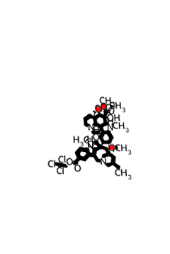 CCC1=C[C@H]2CN(C1)Cc1c([nH]c3ccc(C(=O)OCC(Cl)(Cl)Cl)cc13)[C@@](C(=O)OC)(C1C=C3C(=CC1OC)N(C)[C@H]1[C@@](O)(C(=O)OC)[C@H](OC(C)=O)[C@]4(CC)C=CCN5CC[C@]31[C@@H]54)C2